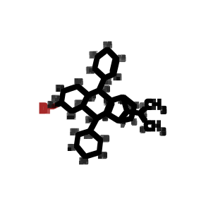 CC(C)C1C2CCC1C1=C2C(C2C=CCCC2)C2CCC(Br)CC2C1C1CCCCC1